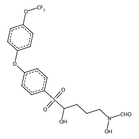 O=CN(O)CCCC(O)S(=O)(=O)c1ccc(Oc2ccc(OC(F)(F)F)cc2)cc1